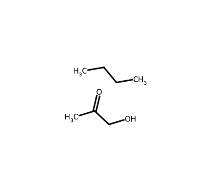 CC(=O)CO.CCCC